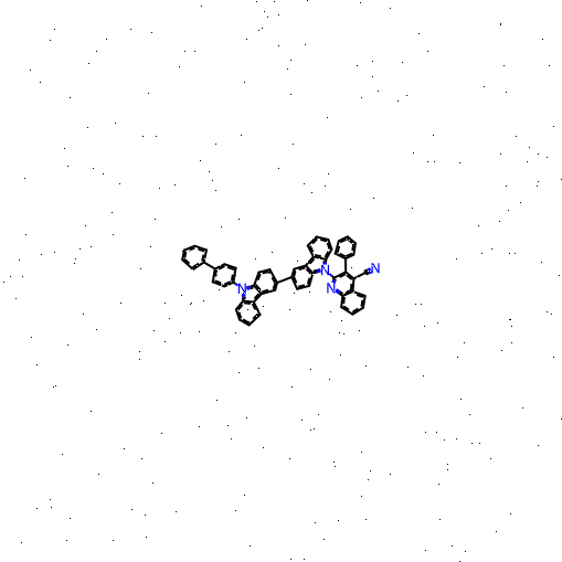 N#Cc1c(-c2ccccc2)c(-n2c3ccccc3c3cc(-c4ccc5c(c4)c4ccccc4n5-c4ccc(-c5ccccc5)cc4)ccc32)nc2ccccc12